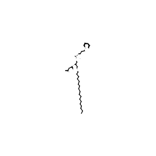 CCCCCCCCCCCCCCCCCCOCC(COP(=O)([O-])OCCC[n+]1ccccc1)OC(=O)CC(C)=O